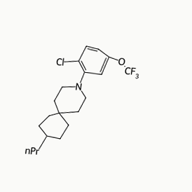 CCCC1CCC2(CC1)CCN(c1cc(OC(F)(F)F)ccc1Cl)CC2